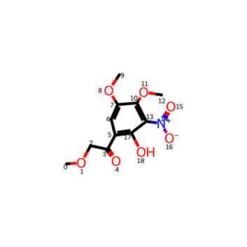 COCC(=O)c1cc(OC)c(OC)c([N+](=O)[O-])c1O